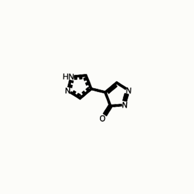 O=C1N=NC=C1c1cn[nH]c1